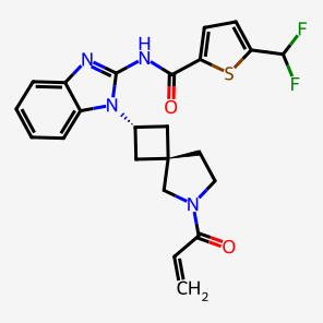 C=CC(=O)N1CC[C@]2(C1)C[C@@H](n1c(NC(=O)c3ccc(C(F)F)s3)nc3ccccc31)C2